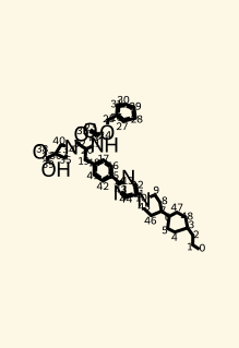 CCCC1CCC(C2CCN(c3cnc(-c4ccc(CC(NC(=O)OCc5ccccc5)C(=O)N5CC(C(=O)O)C5)cc4)nc3)CC2)CC1